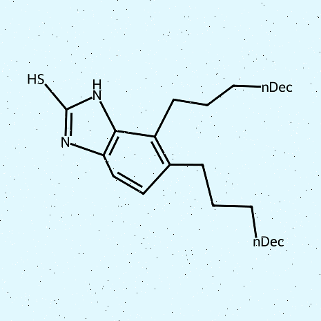 CCCCCCCCCCCCCc1ccc2nc(S)[nH]c2c1CCCCCCCCCCCCC